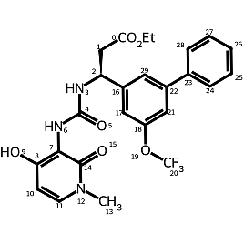 CCOC(=O)C[C@H](NC(=O)Nc1c(O)ccn(C)c1=O)c1cc(OC(F)(F)F)cc(-c2ccccc2)c1